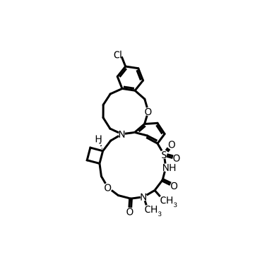 CC1C(=O)NS(=O)(=O)c2ccc3c(c2)N(CCCCc2cc(Cl)ccc2CO3)C[C@@H]2CCC2COCC(=O)N1C